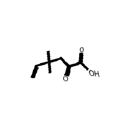 C=CC(C)(C)CC(=O)C(=O)O